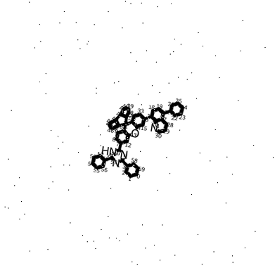 c1ccc(C2=NC(c3ccc4c(c3)Oc3cc(-c5ccc(-c6ccccc6)c6cccnc56)ccc3C43c4ccccc4-c4ccccc43)NC(c3ccccc3)=N2)cc1